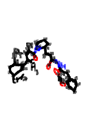 CC1CCC(C(C)C)C(C(C)C=C(C#N)C(=O)N2CCCC2CCC(=O)NC(Cc2ccccc2)OB=O)C1